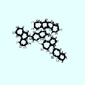 c1ccc2cc(-c3ccc(N(c4ccc5cc(-c6cc7ccccc7c7ccccc67)ccc5c4)c4cccc5sc6cc7ccccc7cc6c45)c4ccccc34)ccc2c1